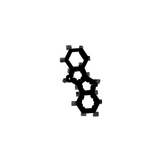 C1=Cc2c(oc3c2sc2ccccc23)CC1